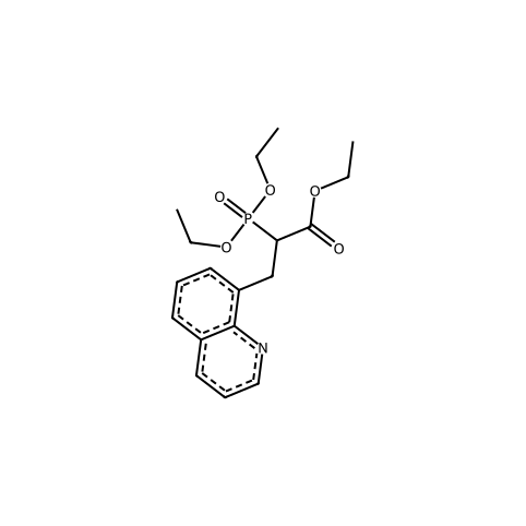 CCOC(=O)C(Cc1cccc2cccnc12)P(=O)(OCC)OCC